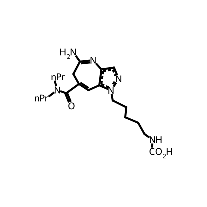 CCCN(CCC)C(=O)C1=Cc2c(cnn2CCCCCNC(=O)O)N=C(N)C1